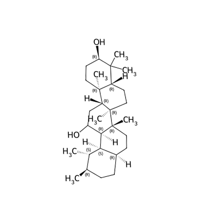 C[C@@H]1[C@@H]2[C@H](CC[C@H]1C)CC[C@]1(C)[C@@H]2C(O)C[C@@H]2[C@@]3(C)CC[C@@H](O)C(C)(C)[C@@H]3CC[C@]21C